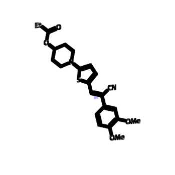 CCC(=O)OC1CCN(c2ccc(/C=C(\C#N)c3ccc(OC)c(OC)c3)s2)CC1